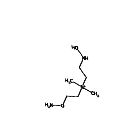 C[N+](C)(CCNO)CCON